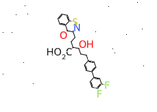 O=C(O)[C@@H](CCc1nsc2ccccc2c1=O)[C@H](O)CCc1ccc(-c2ccc(F)c(F)c2)cc1